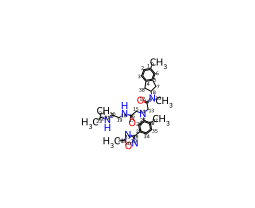 Cc1ccc2c(c1)CC(N(C)C(=O)CN(CC(=O)NCCNC(C)C)c1cc(-c3noc(C)n3)ccc1C)C2